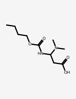 CCCCOC(=O)NC(CC(=O)O)N(C)C